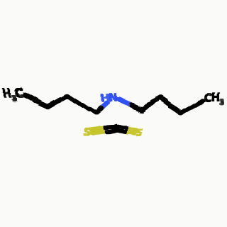 CCCCNCCCC.S=C=S